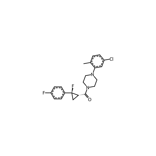 Cc1ccc(Cl)cc1N1CCN(C(=O)[C@@H]2C[C@]2(F)c2ccc(F)cc2)CC1